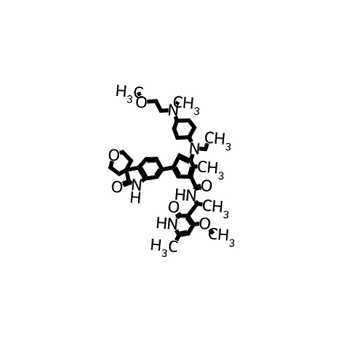 CCN(c1cc(-c2ccc3c(c2)NC(=O)C32CCOCC2)cc(C(=O)NC(C)c2c(OC)cc(C)[nH]c2=O)c1C)C1CCC(N(C)CCOC)CC1